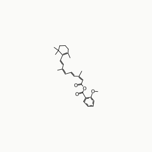 COc1ccccc1C(=O)OC(=O)C=C(C)C=CC=C(C)C=CC1=C(C)CCCC1(C)C